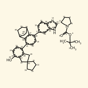 CC(C)(C)OC(=O)N1CCC[C@H]1c1nc2ccc(-c3ccc(-c4ccc(O)c5c4CC4(CCCC4)C5)c4c3C3CCC4CC3)cc2[nH]1